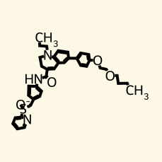 CCCCOCCOc1ccc(-c2ccc3c(c2)C=C(C(=O)Nc2ccc(C[S+]([O-])c4ccccn4)cc2)CCN3CCC)cc1